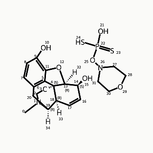 CN1CC[C@]23c4c5ccc(O)c4O[C@H]2[C@@H](O)C=C[C@H]3[C@H]1C5.OP(=S)(S)ON1CCOCC1